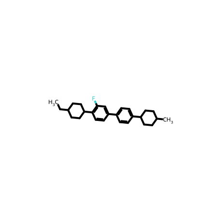 CCC1CCC(c2ccc(-c3ccc(C4CCC(C)CC4)cc3)cc2F)CC1